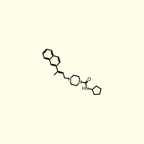 C/C(=C\CN1CCN(C(=O)NC2CCCC2)CC1)c1ccc2ccccc2c1